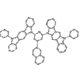 c1ccc(-n2c3ccccc3c3cc4c(cc32)c2ccccc2n4-c2cc(-c3ccc4ccccc4c3)cc(-n3c4ccccc4c4cc5c(cc43)c3ccccc3n5-c3ccccc3)n2)cc1